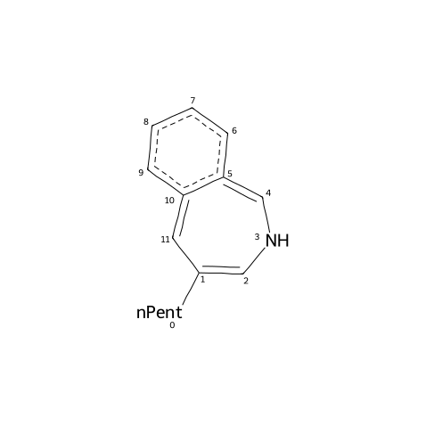 CCCCCC1=CNC=c2ccccc2=C1